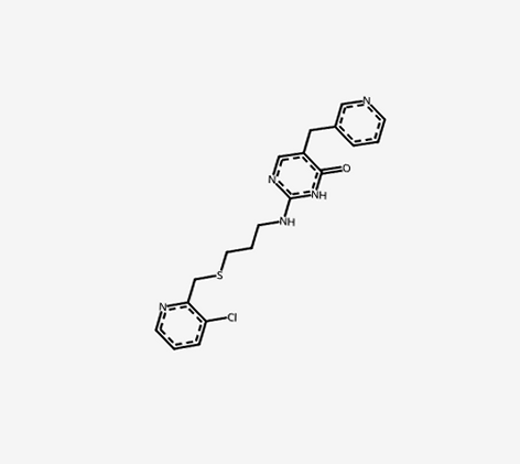 O=c1[nH]c(NCCCSCc2ncccc2Cl)ncc1Cc1cccnc1